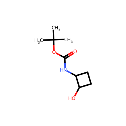 CC(C)(C)OC(=O)NC1CCC1O